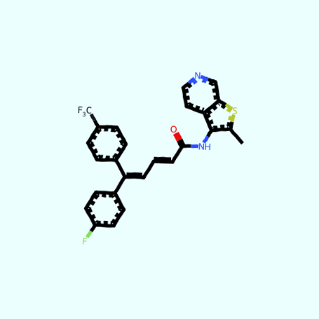 Cc1sc2cnccc2c1NC(=O)C=CC=C(c1ccc(F)cc1)c1ccc(C(F)(F)F)cc1